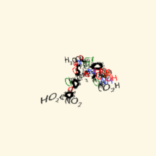 CC1(C)OC(c2ccco2)CN1C(=O)C(Cl)Cl.CCOCN(C(=O)CCl)c1c(C)cccc1CC.O=C(O)CNCP(=O)(O)O.O=C(O)c1cc(Oc2ccc(C(F)(F)F)cc2Cl)ccc1[N+](=O)[O-]